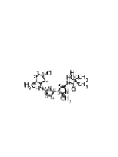 Cc1ccc(Cl)cc1Nc1nc(-c2sc(NC(=O)C(C)(C)C)nc2C)cs1